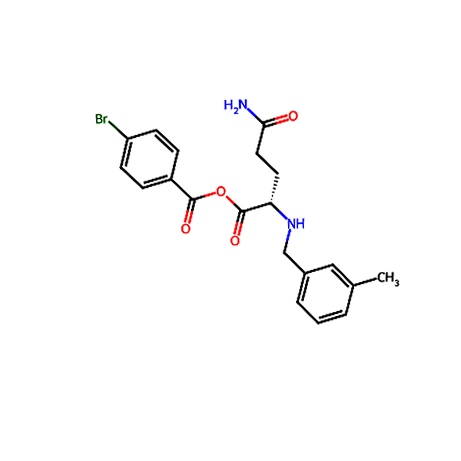 Cc1cccc(CN[C@@H](CCC(N)=O)C(=O)OC(=O)c2ccc(Br)cc2)c1